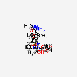 CNC(=O)C(N)CCC(C)(C)Cc1cc(S(=O)(=O)N(Cc2ccccc2)[C@H](NC(=O)O[C@@H]2CO[C@@H]3OCC[C@@H]32)[C@@H](C)O)ccc1OC